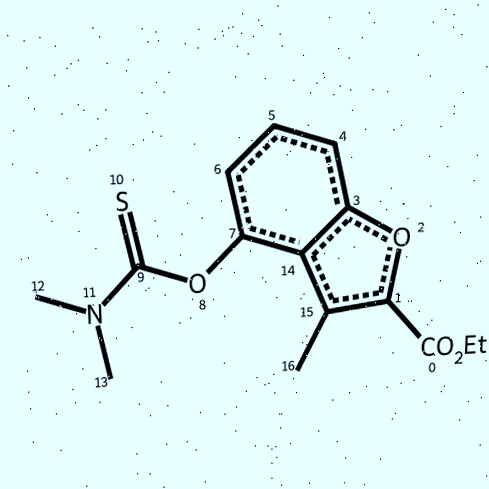 CCOC(=O)c1oc2cccc(OC(=S)N(C)C)c2c1C